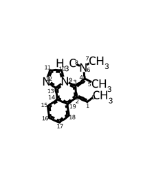 C/C=c1\c(=C(/C)N(C)C)n2ccnc2c2ccccc12